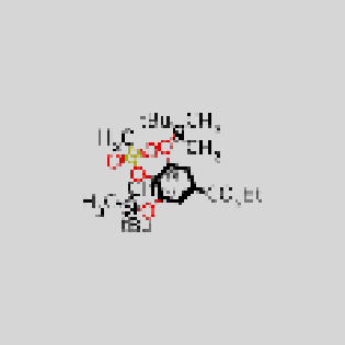 CCOC(=O)C1=C[C@@H](O[Si](C)(C)C(C)(C)C)[C@@H](OS(C)(=O)=O)[C@H](O[Si](C)(C)C(C)(C)C)C1